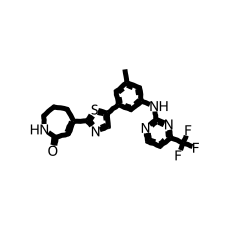 Cc1cc(Nc2nccc(C(F)(F)F)n2)cc(-c2cnc(C3=CC(=O)NCCC3)s2)c1